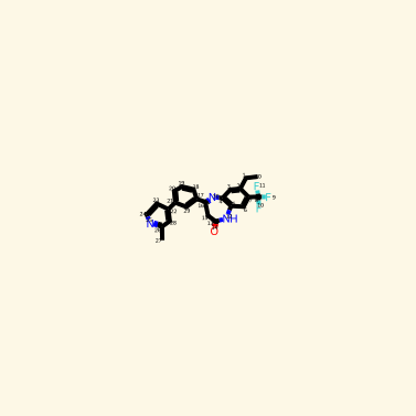 CCc1cc2c(cc1C(F)(F)F)NC(=O)CC(c1cccc(-c3ccnc(C)c3)c1)=N2